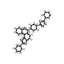 c1ccc(-c2nnc(-c3ccc(-c4nc5ccccc5c5c4ccc4oc(-c6ccccc6)nc45)cc3)o2)cc1